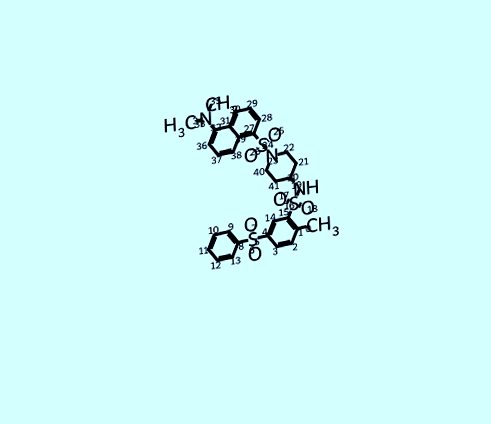 Cc1ccc(S(=O)(=O)c2ccccc2)cc1S(=O)(=O)NC1CCN(S(=O)(=O)c2cccc3c(N(C)C)cccc23)CC1